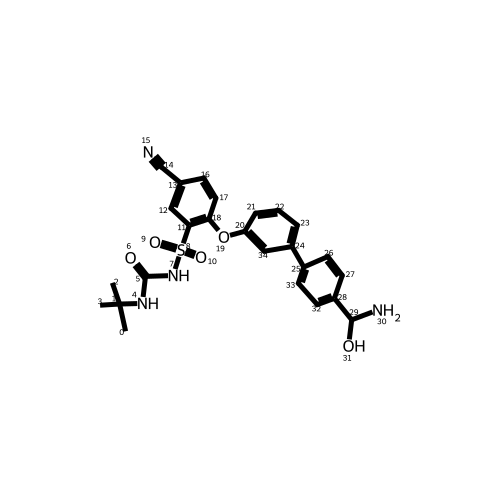 CC(C)(C)NC(=O)NS(=O)(=O)c1cc(C#N)ccc1Oc1cccc(-c2ccc(C(N)O)cc2)c1